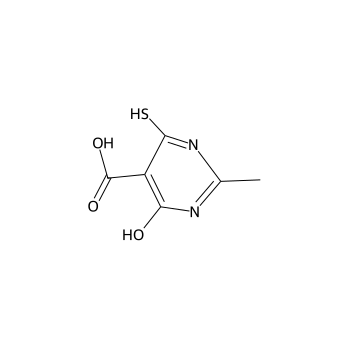 Cc1nc(O)c(C(=O)O)c(S)n1